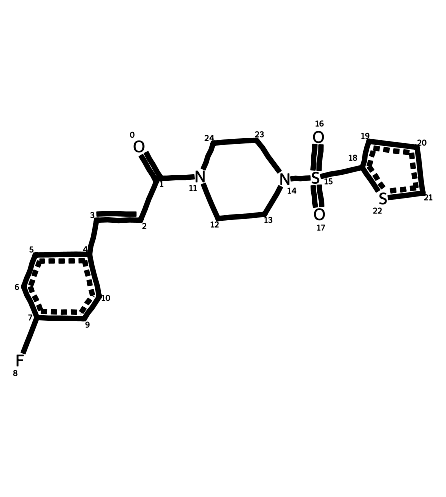 O=C(C=Cc1ccc(F)cc1)N1CCN(S(=O)(=O)c2cccs2)CC1